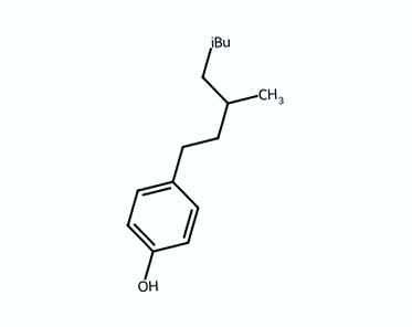 CCC(C)CC(C)CCc1ccc(O)cc1